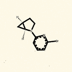 Brc1cccc(N2CC[C@@H]3C[C@@H]32)n1